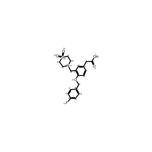 O=C(O)Cc1ccc(OCc2ccc(F)cc2)c(CN2CCS(=O)(=O)CC2)c1